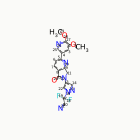 COc1cc(-c2ccc3c(n2)CN(c2cnn(C(F)(F)C#N)c2)C3=O)cnc1OC